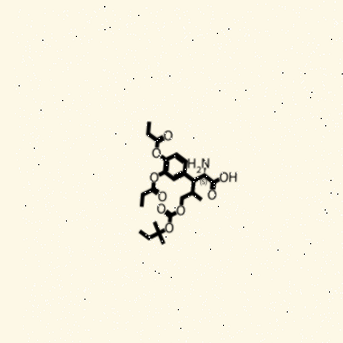 CCC(=O)Oc1ccc(C(C(C)COC(=O)OC(C)(C)CC)[C@H](N)C(=O)O)cc1OC(=O)CC